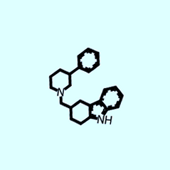 c1ccc(C2CCCN(CC3CCc4[nH]c5ccccc5c4C3)C2)cc1